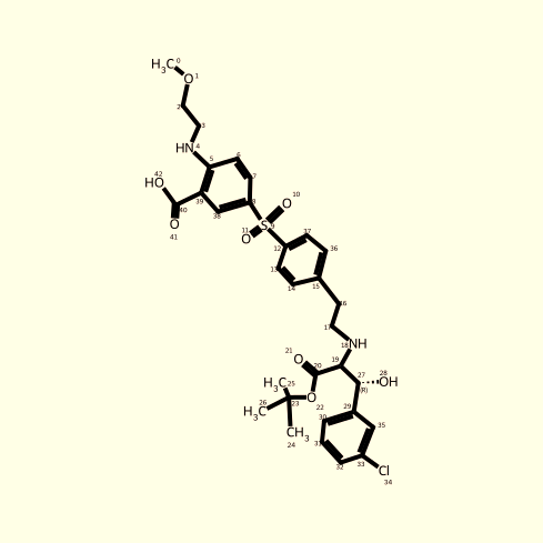 COCCNc1ccc(S(=O)(=O)c2ccc(CCNC(C(=O)OC(C)(C)C)[C@H](O)c3cccc(Cl)c3)cc2)cc1C(=O)O